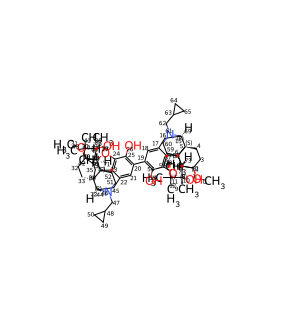 CO[C@]12CC[C@@]3(C[C@@H]1[C@](C)(O)C(C)(C)C)[C@H]1Cc4cc(-c5cc6c7c(c5O)O[C@H]5[C@@]8(OC)CC[C@@]9(C[C@@H]8[C@](C)(O)C(C)(C)C)[C@@H](C6)N(CC6CC6)CC[C@]759)c(O)c5c4[C@@]3(CCN1CC1CC1)[C@H]2O5